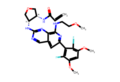 C=CC(=O)N[C@H]1COC[C@H]1Nc1ncc2cc(-c3c(F)c(OC)cc(OC)c3F)nc(NCCOC)c2n1